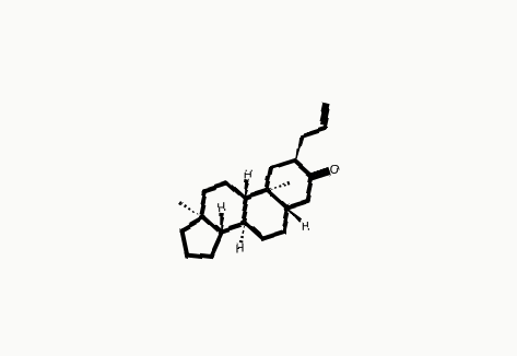 C=CC[C@@H]1C[C@@]2(C)[C@@H](CC[C@H]3[C@@H]4CCC[C@@]4(C)CC[C@@H]32)CC1=O